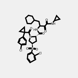 O=C(NC1CC1)C(=O)C(CC1CCCCC1)NC(=O)[C@@H]1C[C@@H](S(=O)(=O)c2ccccc2Cl)CN1C(=O)C1(c2ccc(Cl)cc2)CC1